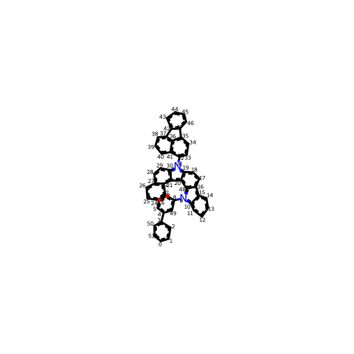 c1ccc(-c2cccc(-n3c4ccccc4c4ccc5c(c6c7ccccc7ccc6n5-c5ccc6c7c(cccc57)-c5ccccc5-6)c43)c2)cc1